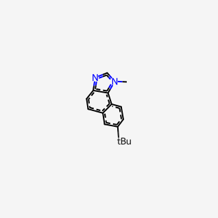 Cn1cnc2ccc3cc(C(C)(C)C)ccc3c21